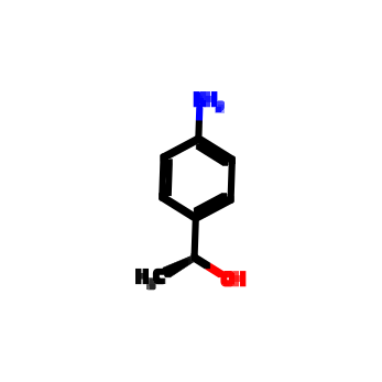 C[C@H](O)c1ccc(N)cc1